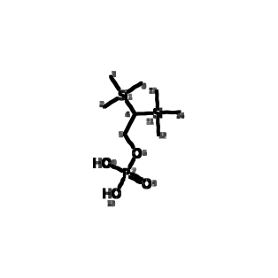 C[Si](C)(C)C(COP(=O)(O)O)[Si](C)(C)C